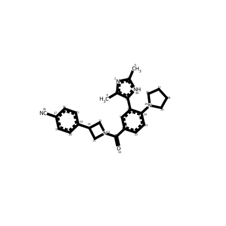 Cc1nc(C)c(-c2cc(C(=O)N3CC(c4ccc(C#N)cc4)C3)ccc2N2CCCC2)[nH]1